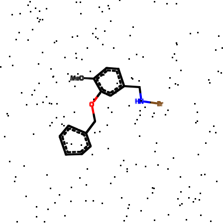 COc1ccc(CNBr)cc1OCc1ccccc1